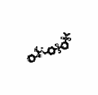 C/N=C(\NCc1ccc(S(=O)(=O)c2cccc(S(=O)(=O)N(C)C)c2)cc1)Nc1ccncc1